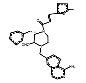 Nc1ncnc2cc(CN3CCN(C(=O)C=Cc4ccc(Cl)s4)[C@@H](Cc4ccccc4)C3C=O)ccc12